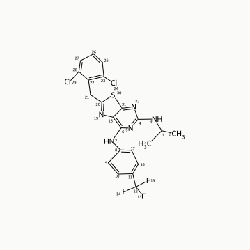 CC(C)Nc1nc(Nc2ccc(C(F)(F)F)cc2)c2nc(Cc3c(Cl)cccc3Cl)sc2n1